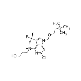 C[Si](C)(C)CCOCn1cc(C(F)(F)F)c2c(NCCCO)nc(Cl)nc21